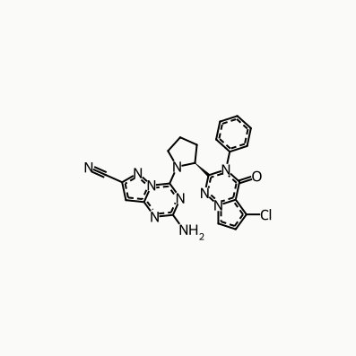 N#Cc1cc2nc(N)nc(N3CCC[C@H]3c3nn4ccc(Cl)c4c(=O)n3-c3ccccc3)n2n1